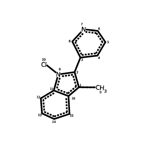 Cc1c(-c2cccnc2)n(Cl)c2ccccc12